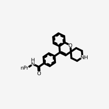 CCCNC(=O)c1ccc(C2=CC3(CCNCC3)Oc3ccccc32)cc1